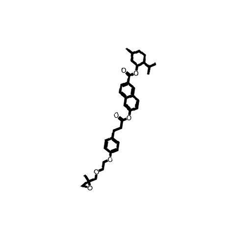 CC1CCC(C(C)C)C(OC(=O)c2ccc3cc(OC(=O)CCc4ccc(OCCOCC5(C)CO5)cc4)ccc3c2)C1